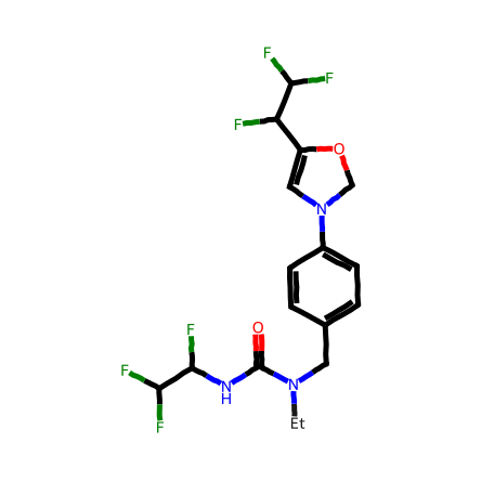 CCN(Cc1ccc(N2C=C(C(F)C(F)F)OC2)cc1)C(=O)NC(F)C(F)F